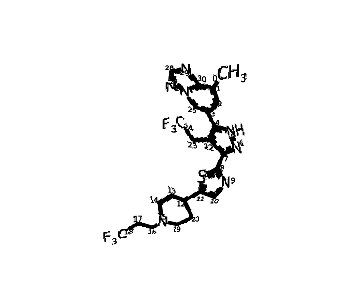 Cc1cc(-c2[nH]nc(-c3ncc(C4CCN(CCC(F)(F)F)CC4)s3)c2CC(F)(F)F)cn2ncnc12